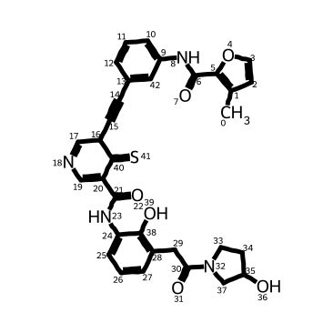 Cc1ccoc1C(=O)Nc1cccc(C#CC2C=NC=C(C(=O)Nc3cccc(CC(=O)N4CCC(O)C4)c3O)C2=S)c1